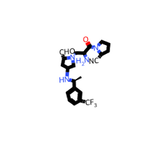 C[C@H](NC1CC(C=O)N(CC(N)C(=O)N2CCCC2C#N)C1)c1cccc(C(F)(F)F)c1